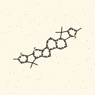 Cc1cc2c(s1)-c1ccc3c(ccc4c3ccc3c5c(sc34)-c3sc(C)cc3C5(C)C)c1C2(C)C